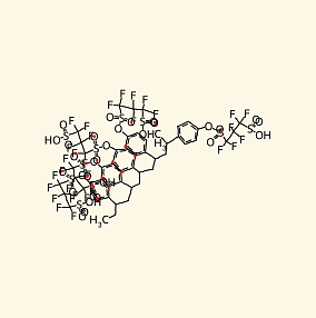 CCC(CC(CC(CC(CC(C)c1ccc(OS(=O)(=O)C(F)(F)C(F)(F)C(F)(F)S(=O)(=O)O)cc1)c1ccc(OS(=O)(=O)C(F)(F)C(F)(F)C(F)(F)S(=O)(=O)O)cc1)c1ccc(OS(=O)(=O)C(F)(F)C(F)(F)C(F)(F)S(=O)(=O)O)cc1)c1ccc(OS(=O)(=O)C(F)(F)C(F)(F)C(F)(F)S(=O)(=O)O)cc1)c1ccc(OS(=O)(=O)C(F)(F)C(F)(F)C(F)(F)S(=O)(=O)O)cc1